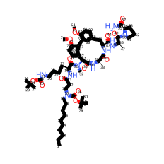 CCCCCCCCCCN(CCC(=O)N[C@@H](CCCCNC(=O)OC(C)(C)C)C(=O)N(C)[C@@H]1C(=O)N[C@@H](C)C(=O)N[C@H](C(=O)N[C@@H](C)C(=O)N2CCC[C@H]2C(N)=O)Cc2ccc(OC)c(c2)-c2cc1ccc2OC)C(=O)OC(C)(C)C